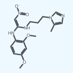 COc1ccc(NC(=C[N+](=O)[O-])NCCCn2cncc2C)c(OC)c1